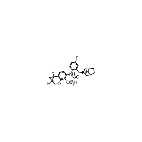 CCN1C2CCC1CC(Cc1cc(F)ccc1N(c1ccc3c(c1C(=O)O)OC[C@@H]1C[C@H]31)[SH](=O)=O)C2